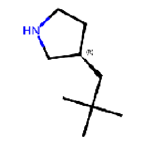 CC(C)(C)C[C@@H]1CCNC1